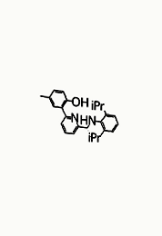 Cc1ccc(O)c(-c2cccc([C@@H](C)Nc3c(C(C)C)cccc3C(C)C)n2)c1